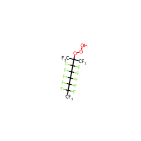 OOOC(C(F)(F)F)(C(F)(F)F)C(F)(F)C(F)(F)C(F)(F)C(F)(F)C(F)(F)C(F)(F)F